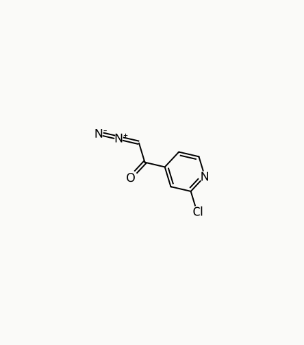 [N-]=[N+]=CC(=O)c1ccnc(Cl)c1